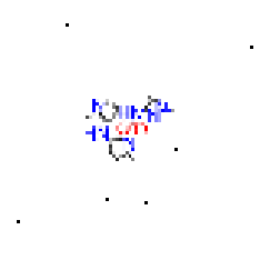 Cc1ccc(Nc2cccnc2C)c(OC(=O)Nc2ccn(C)n2)n1